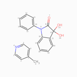 Cc1ccncc1.O=C1N(c2ccccc2)c2ccccc2C1(O)O